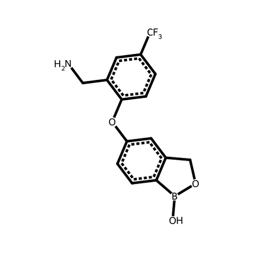 NCc1cc(C(F)(F)F)ccc1Oc1ccc2c(c1)COB2O